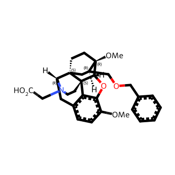 COc1ccc2c3c1O[C@H]1[C@@]4(OC)CC[C@@]5(C[C@@H]4COCc4ccccc4)[C@@H](C2)N(CC(=O)O)CC[C@]315